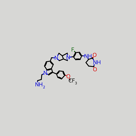 NCCCn1cc(-c2ccc(OC(F)(F)F)cc2)c2cc(CN3CC4CN(c5ccc(NC6CCC(=O)NC6=O)cc5F)CC4C3)ccc21